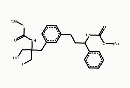 CC(C)(C)OC(=O)NC(CCc1cccc(CC(CO)(CF)NC(=O)OC(C)(C)C)c1)c1ccccc1